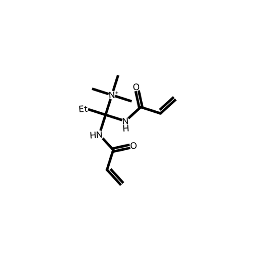 C=CC(=O)NC(CC)(NC(=O)C=C)[N+](C)(C)C